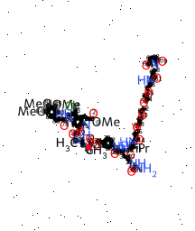 COC(=O)c1cc2c3c(cc(OC(=O)N(C)CCN(C)C(=O)OCc4ccc(NC(=O)[C@H](CCCNC(N)=O)NC(=O)[C@@H](NC(=O)CCOCCOCCOCCOCCNC(=O)CCN5C(=O)C=CC5=O)C(C)C)cc4)c2[nH]1)N(C(=O)c1cc2cc(OC)c(OC)c(OC)c2[nH]1)C[C@H]3CCl